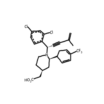 C=C(C)C#C[C@@H](c1ccc(Cl)cc1Cl)N1CC[C@H](CC(=O)O)C[C@@H]1C1C=CC(C(F)(F)F)=CC1